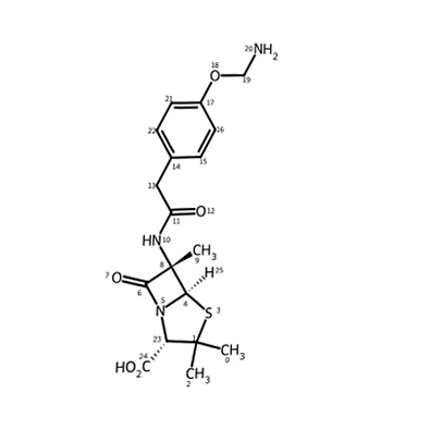 CC1(C)S[C@H]2N(C(=O)[C@]2(C)NC(=O)Cc2ccc(OCN)cc2)[C@H]1C(=O)O